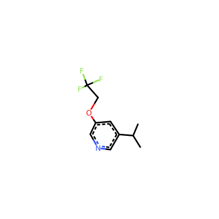 CC(C)c1cncc(OCC(F)(F)F)c1